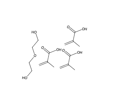 C=C(C)C(=O)O.C=C(C)C(=O)O.C=C(C)C(=O)O.OCCOCCO